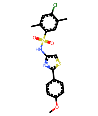 COc1ccc(-c2nc(NS(=O)(=O)c3cc(C)c(Cl)cc3C)cs2)cc1